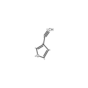 C#Cc1[c]occ1